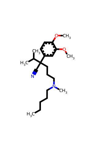 CCCCCN(C)CCCC(C#N)(c1ccc(OC)c(OC)c1)C(C)C